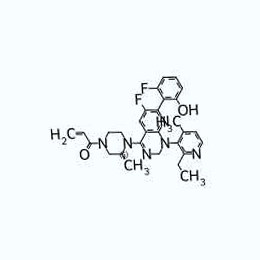 C=CC(=O)N1CCN(C2=NCN(c3c(C)ccnc3CC)c3nc(-c4c(O)cccc4F)c(F)cc32)[C@@H](C)C1